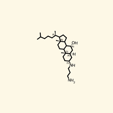 CC(C)CCC[C@@H](C)C1CCC2C3C(CC[C@@]21C)[C@@]1(C)CC[C@H](NCCCN)C[C@@H]1C[C@H]3O